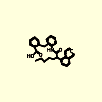 CCCCCC(C(=O)Nc1ccccc1Cc1ccccc1C(=O)O)c1cccc2ccccc12